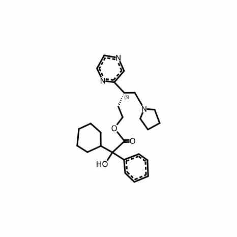 O=C(OCC[C@@H](CN1CCCC1)c1cnccn1)C(O)(c1ccccc1)C1CCCCC1